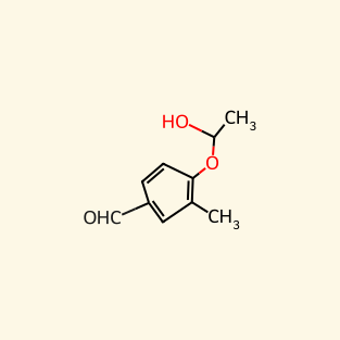 Cc1cc(C=O)ccc1OC(C)O